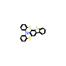 c1ccc2c(c1)Sc1cc3c(sc4ccccc43)c3c1N2c1ccccc1S3